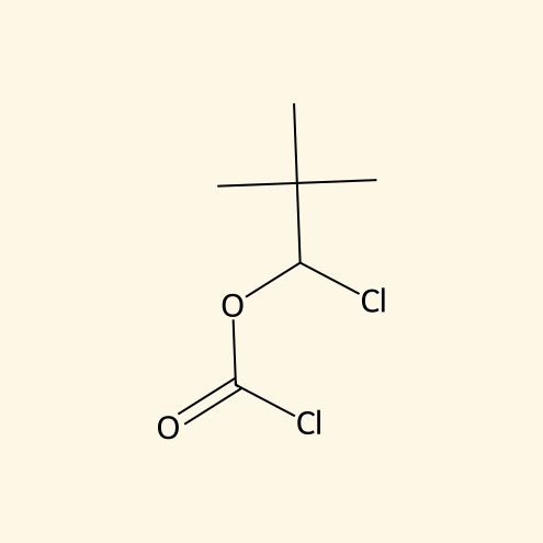 CC(C)(C)C(Cl)OC(=O)Cl